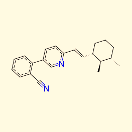 C[C@H]1[C@H](/C=C/c2ccc(-c3ccccc3C#N)cn2)CCC[C@@H]1C